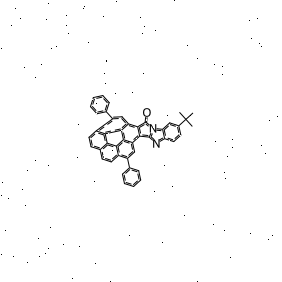 CC(C)(C)c1ccc2nc3c4c5cc(-c6ccccc6)c6ccc7ccc8c(-c9ccccc9)cc(c4c(=O)n3c2c1)c1c8c7c6c51